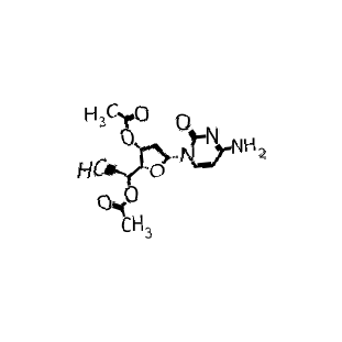 C#C[C@H](OC(C)=O)[C@H]1O[C@@H](n2ccc(N)nc2=O)C[C@@H]1OC(C)=O